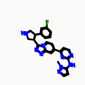 Cn1nccc1Nc1nccc(-c2ccn3c(C4CNCC4c4cccc(F)c4)nnc3c2)n1